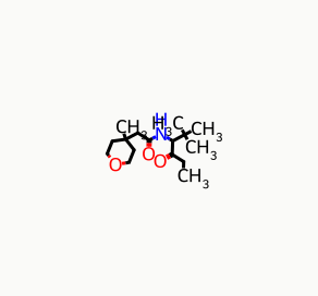 CCC(=O)C(NC(=O)CC1(C)CCOCC1)C(C)(C)C